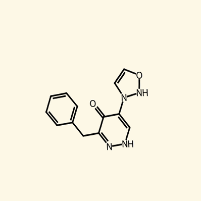 O=c1c(N2C=CON2)c[nH]nc1Cc1ccccc1